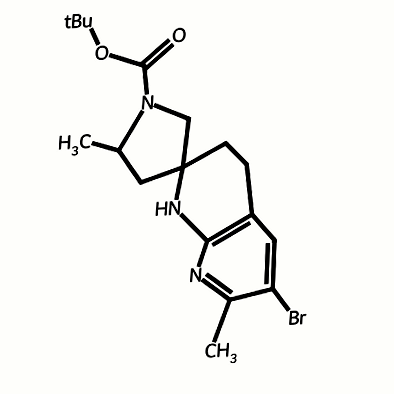 Cc1nc2c(cc1Br)CCC1(CC(C)N(C(=O)OC(C)(C)C)C1)N2